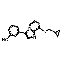 Oc1cccc(-c2cnc3c(NCC4CC4)nccn23)c1